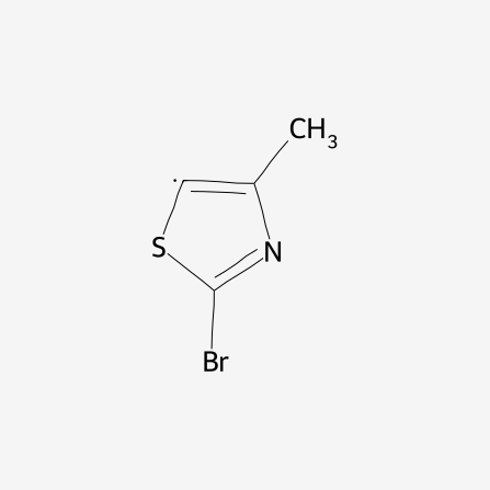 Cc1[c]sc(Br)n1